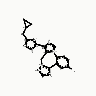 Fc1ccc2c(c1)-c1ncnn1Cc1c(-c3noc(CC4CC4)n3)ncn1-2